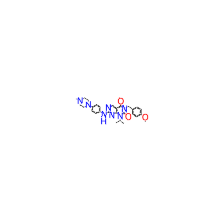 COc1ccc(Cn2c(=O)c3cnc(Nc4ccc(N5CCN(C)CC5)cc4)nc3n(C(C)C)c2=O)cc1